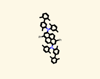 Cc1ccc(C)c(N(c2cc(-c3c(C)cccc3C)ccc2C)c2cc(C(C)C)c3ccc4c(N(c5cc(C)ccc5C)c5cc(-c6c(C)cccc6C)ccc5C)cc(C(C)C)c5ccc2c3c54)c1